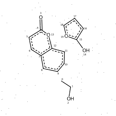 CCO.O=c1ccc2ccccc2o1.Oc1ccco1